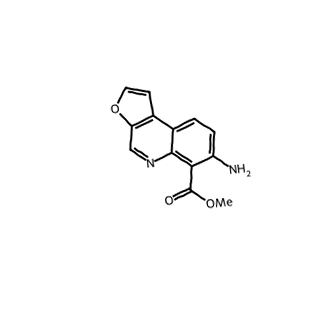 COC(=O)c1c(N)ccc2c1ncc1occc12